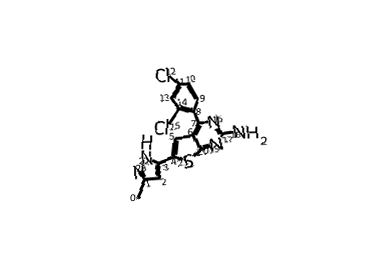 Cc1cc(-c2cc3c(-c4ccc(Cl)cc4Cl)nc(N)nc3s2)[nH]n1